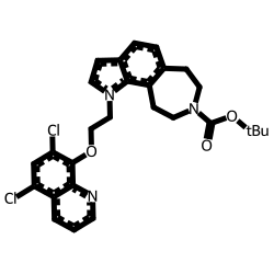 CC(C)(C)OC(=O)N1CCc2ccc3ccn(CCOc4c(Cl)cc(Cl)c5cccnc45)c3c2CC1